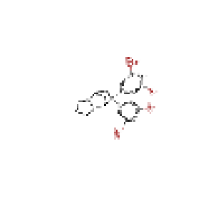 Brc1[c]c(Br)cc(C2(c3cc(Br)[c]c(Br)c3)CC3CC2C2CCCC32)c1